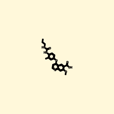 CCCNC(=O)Nc1ccc(Oc2ccnc3cc(OC)c(C(=O)O)cc23)cc1C